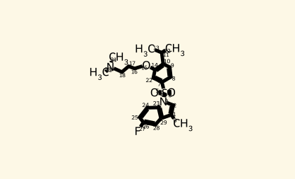 Cc1cn(S(=O)(=O)c2ccc(C(C)C)c(OCCCN(C)C)c2)c2ccc(F)cc12